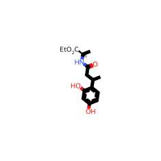 CCOC(=O)[C@@H](C)NC(=O)CC(C)c1ccc(O)cc1O